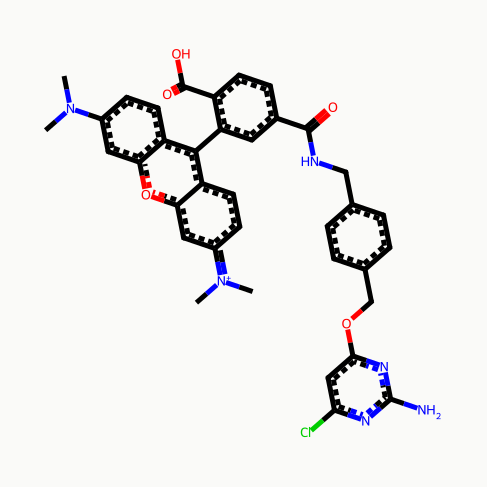 CN(C)c1ccc2c(-c3cc(C(=O)NCc4ccc(COc5cc(Cl)nc(N)n5)cc4)ccc3C(=O)O)c3ccc(=[N+](C)C)cc-3oc2c1